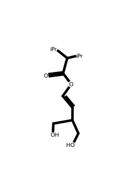 CC(C)C(C(=O)OC=CC(CO)CO)C(C)C